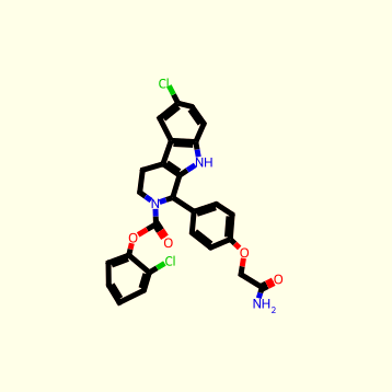 NC(=O)COc1ccc(C2c3[nH]c4ccc(Cl)cc4c3CCN2C(=O)Oc2ccccc2Cl)cc1